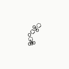 CS(=O)(=O)N1CCC(Oc2ccc(S(=O)(=O)C3C=CCCC3)cc2)CC1